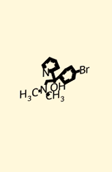 CN(C)CC(O)(c1ccc(Br)cc1)c1ccccn1